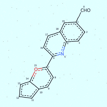 O=Cc1ccc2nc(-c3ccc4cccc-4o3)ccc2c1